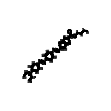 CCCCOC(=O)c1cc2sc(N=Nc3ccc(N=Nc4ccc(N(CC)CC)cc4)cc3)cc2s1